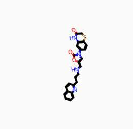 O=C1CSc2ccc(N3CC(CNCCCc4ccc5ccccc5n4)OC3=O)cc2N1